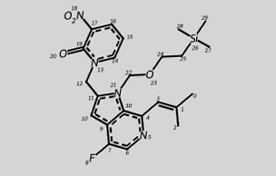 CC(C)=Cc1ncc(F)c2cc(Cn3cccc([N+](=O)[O-])c3=O)n(COCC[Si](C)(C)C)c12